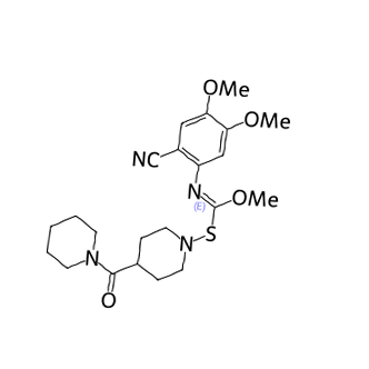 CO/C(=N\c1cc(OC)c(OC)cc1C#N)SN1CCC(C(=O)N2CCCCC2)CC1